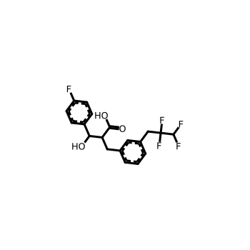 O=C(O)C(Cc1cccc(CC(F)(F)C(F)F)c1)C(O)c1ccc(F)cc1